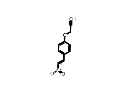 C#CCOc1ccc(/C=C/[N+](=O)[O-])cc1